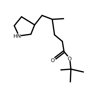 CC(CCC(=O)OC(C)(C)C)CC1CCNC1